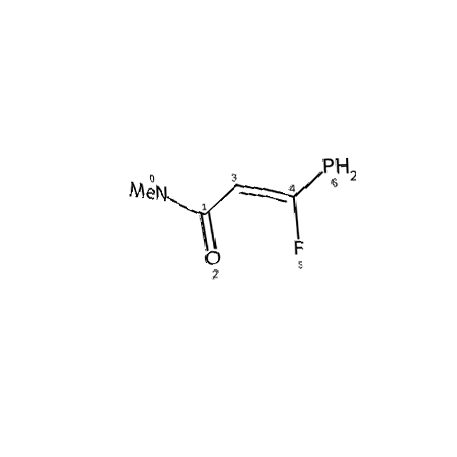 CNC(=O)/C=C(\F)P